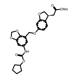 COC(=O)C[C@@H]1COc2cc(OCc3cc(NC(=O)OC4CCCC4)cc4c3OCO4)ccc21